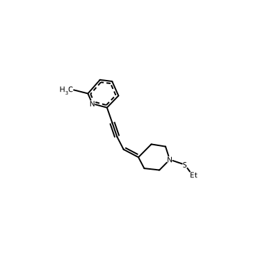 CCSN1CCC(=CC#Cc2cccc(C)n2)CC1